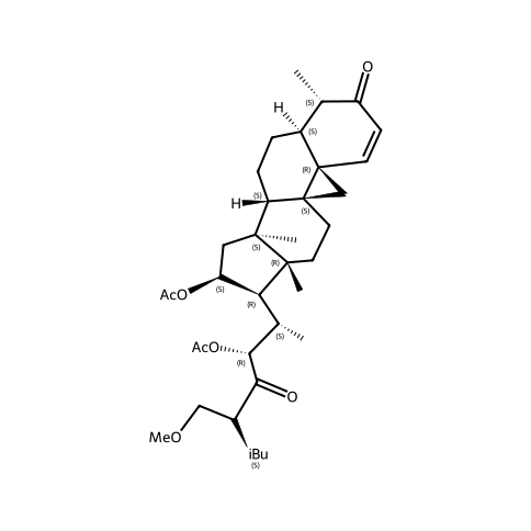 CC[C@H](C)C(COC)C(=O)[C@H](OC(C)=O)[C@@H](C)[C@H]1[C@@H](OC(C)=O)C[C@@]2(C)[C@@H]3CC[C@H]4[C@H](C)C(=O)C=C[C@@]45C[C@@]35CC[C@]12C